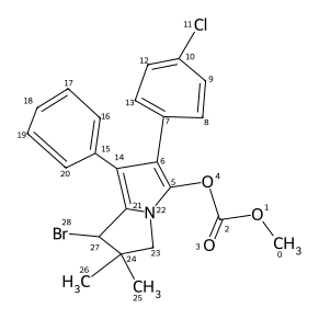 COC(=O)Oc1c(-c2ccc(Cl)cc2)c(-c2ccccc2)c2n1CC(C)(C)C2Br